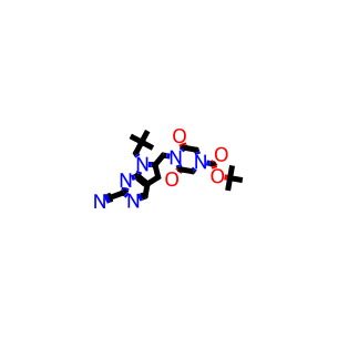 CC(C)(C)CN1c2nc(C#N)ncc2CC1CN1C(=O)CN(C(=O)OC(C)(C)C)CC1=O